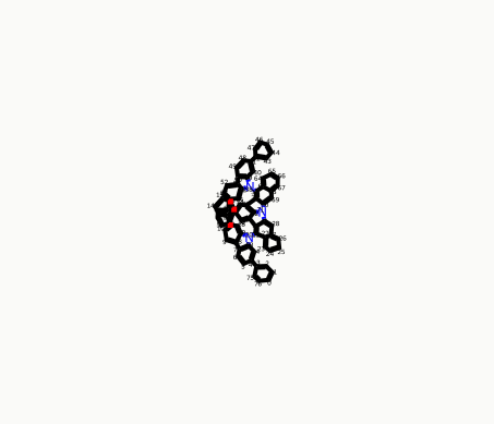 c1ccc(-c2ccc3c4ccc(-c5ccccc5)cc4n(-c4c5ccccc5cc5c4c4cccc6c7c(-n8c9cc(-c%10ccccc%10)ccc9c9ccc(-c%10ccccc%10)cc98)c8ccccc8cc7n5c46)c3c2)cc1